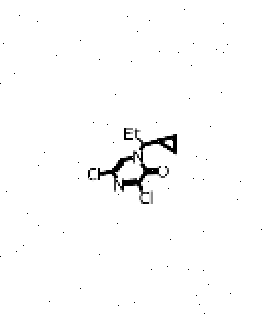 CC[C@H](C1CC1)n1cc(Cl)nc(Cl)c1=O